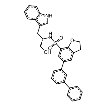 O=S(=O)(N[C@@H](CO)Cc1c[nH]c2ccccc12)c1cc(-c2cccc(-c3ccccc3)c2)cc2c1OCC2